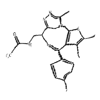 Cc1sc2c(c1C)C(c1ccc(I)cc1)=NC(CNC(=O)C(F)(F)F)c1nnc(C)n1-2